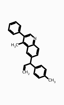 C=CC(c1ccc(C)cc1)c1ccc2ncc(-c3ccccc3)c(C)c2c1